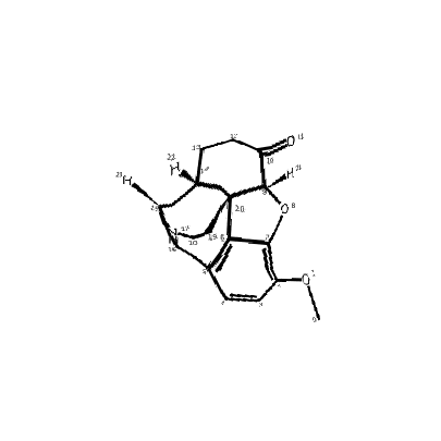 COc1ccc2c3c1O[C@H]1C(=O)CC[C@H]4[C@@H](C2)NCC[C@]314